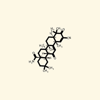 CC1(C)CC[C@]2(C(N)=O)CC[C@]3(C)[C@H](C(=O)C=C4[C@@]5(C)C=C(C#N)C(=O)C(C)(C)[C@@H]5CC[C@]43C)[C@@H]2C1